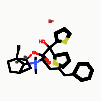 C[N+](C)(CCCCc1ccccc1)C1C2CC[C@@H]1[C@H](OC(=O)C(O)(c1cccs1)c1cccs1)C2.[Br-]